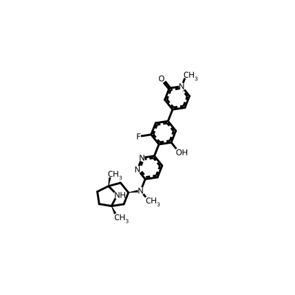 CN(c1ccc(-c2c(O)cc(-c3ccn(C)c(=O)c3)cc2F)nn1)[C@H]1C[C@]2(C)CC[C@](C)(C1)N2